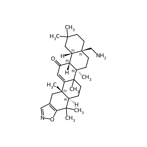 CC1(C)CC[C@]2(CN)CC[C@]3(C)[C@H](C(=O)C=C4C3(C)CC[C@H]3C(C)(C)c5oncc5C[C@]43C)[C@@H]2C1